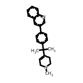 CN1CC=C(C(C)(C)c2ccc(-c3cnc4ccccc4c3)cc2)CC1